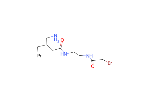 CC(C)CC(CN)CC(=O)NCCNC(=O)CBr